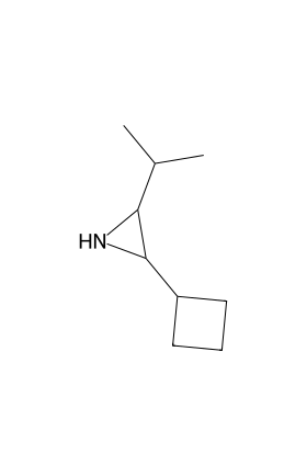 CC(C)C1NC1C1CCC1